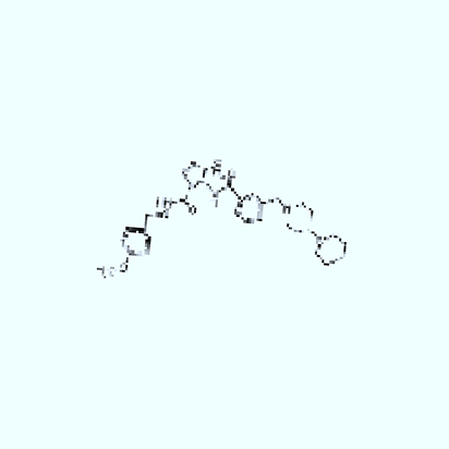 COc1ccc(/C=N/NC(=O)c2scc(C)c2NC(=O)c2cccc(CN3CCC(N4CCCCC4)CC3)c2)cc1